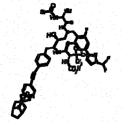 CCC(=O)NC(C(=O)NN(Cc1c(F)cc(-c2ccn(C(F)F)n2)cc1F)C[C@H](O)[C@H](Cc1ccc(C#Cc2ccc(N3CC4CCC(C3)N4C3COC3)nc2)cc1)NC(=O)[C@@H](NC(=O)O)C(C)(C)C(F)(F)F)C(C)(C)C